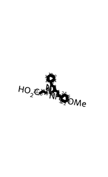 COc1ccc(CCC2=CC(c3ccccc3)=NN(CCCC(=O)O)C2N)cc1